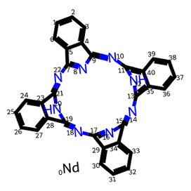 [Nd].c1ccc2c(c1)-c1nc-2nc2[nH]c(nc3nc(nc4[nH]c(n1)c1ccccc41)-c1ccccc1-3)c1ccccc21